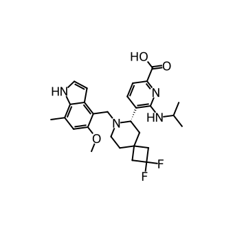 COc1cc(C)c2[nH]ccc2c1CN1CCC2(C[C@H]1c1ccc(C(=O)O)nc1NC(C)C)CC(F)(F)C2